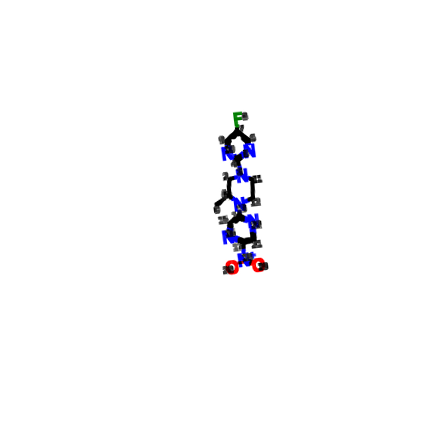 C[C@H]1CN(c2ncc(F)cn2)CCN1c1cnc([N+](=O)[O-])cn1